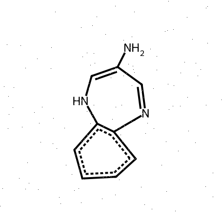 NC1=CNc2ccccc2N=C1